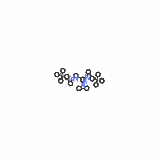 c1ccc([Si](c2ccccc2)(c2ccccc2)c2ccc3c(c2)c2ccccc2n3-c2cccc(-c3cc(-n4c5ccccc5c5ccccc54)nc(-n4c5ccccc5c5cc([Si](c6ccccc6)(c6ccccc6)c6ccccc6)ccc54)c3)n2)cc1